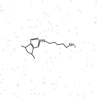 CC1CC(C)c2cc(NCCCCCN)ccc21